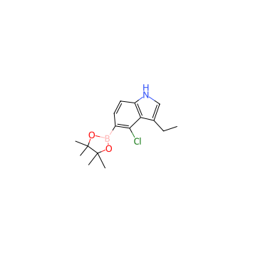 CCc1c[nH]c2ccc(B3OC(C)(C)C(C)(C)O3)c(Cl)c12